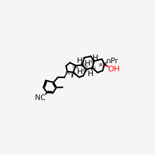 CCC[C@@]1(O)CC[C@H]2[C@H](CC[C@@H]3[C@@H]2CC[C@]2(C)[C@@H](CCc4ccc(C#N)cc4C)CC[C@@H]32)C1